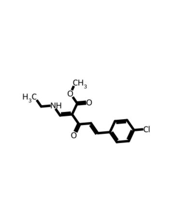 CCNC=C(C(=O)C=Cc1ccc(Cl)cc1)C(=O)OC